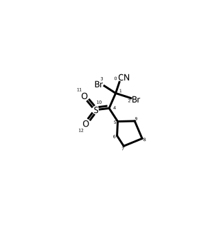 N#CC(Br)(Br)C(C1CCCC1)=S(=O)=O